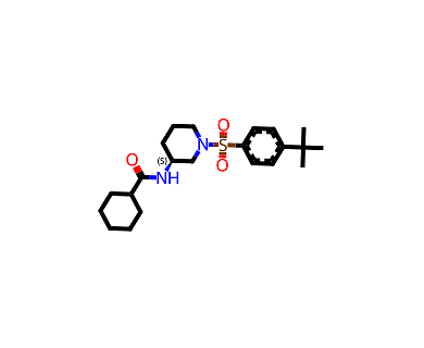 CC(C)(C)c1ccc(S(=O)(=O)N2CCC[C@H](NC(=O)C3CCCCC3)C2)cc1